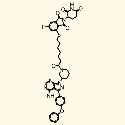 Nc1ncnc2c1c(-c1ccc(Oc3ccccc3)cc1)nn2C1CCCN(C(=O)CCCCCCSc2cc(F)cc3c2C(=O)N(C2CCC(=O)NC2=O)C3=O)C1